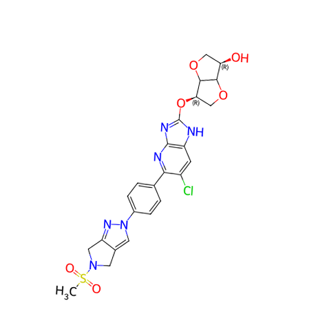 CS(=O)(=O)N1Cc2cn(-c3ccc(-c4nc5nc(O[C@@H]6COC7C6OC[C@H]7O)[nH]c5cc4Cl)cc3)nc2C1